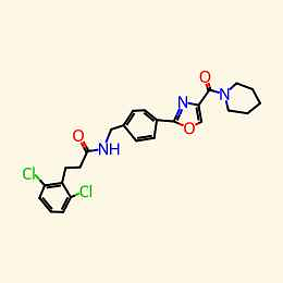 O=C(CCc1c(Cl)cccc1Cl)NCc1ccc(-c2nc(C(=O)N3CCCCC3)co2)cc1